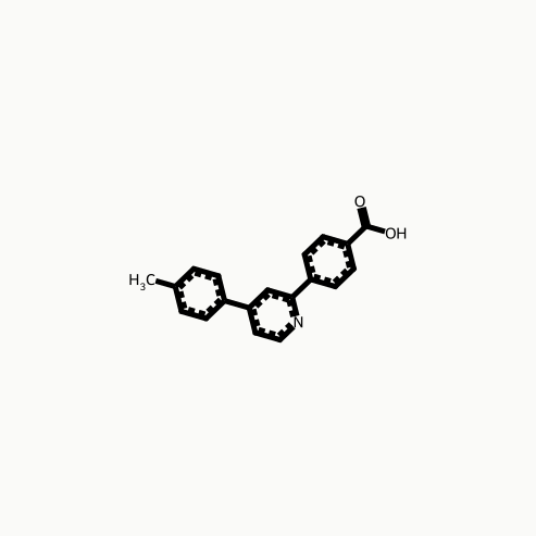 Cc1ccc(-c2ccnc(-c3ccc(C(=O)O)cc3)c2)cc1